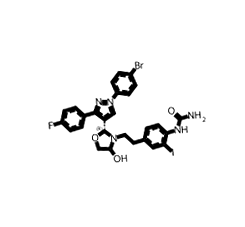 NC(=O)Nc1ccc(CCN2C(O)CO[C@@H]2c2cn(-c3ccc(Br)cc3)nc2-c2ccc(F)cc2)cc1I